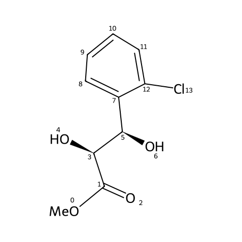 COC(=O)[C@@H](O)[C@H](O)c1ccccc1Cl